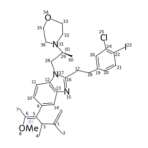 C=C(C)C(C)/C(=C(/C)OC)c1ccc2c(c1)nc(CCc1ccc(I)c(Cl)c1)n2C[C@H](C)N1CCOCC1